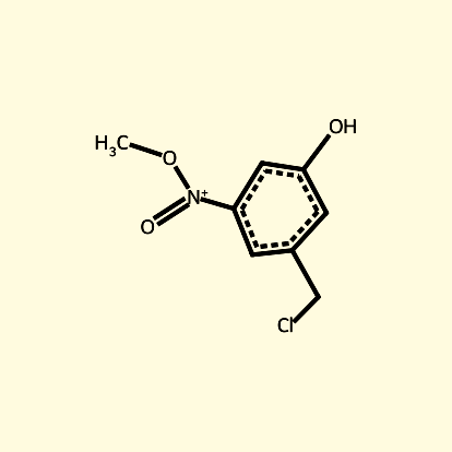 CO[N+](=O)c1cc(O)cc(CCl)c1